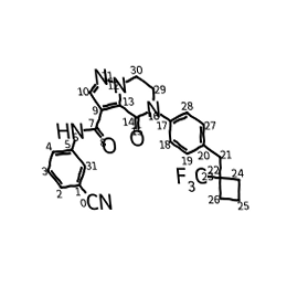 N#Cc1cccc(NC(=O)c2cnn3c2C(=O)N(c2ccc(CC4(C(F)(F)F)CCC4)cc2)CC3)c1